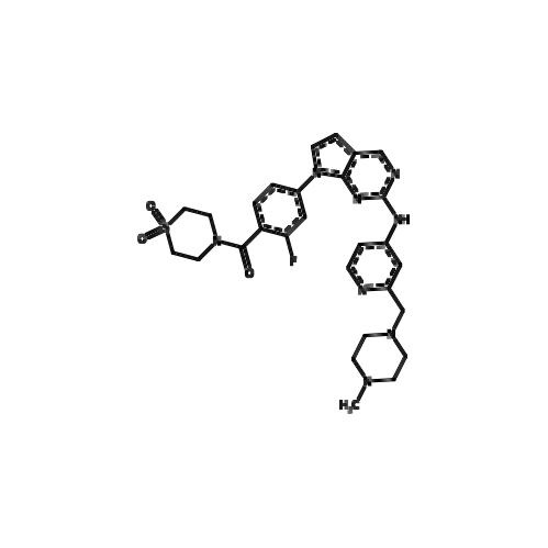 CN1CCN(Cc2cc(Nc3ncc4ccn(-c5ccc(C(=O)N6CCS(=O)(=O)CC6)c(F)c5)c4n3)ccn2)CC1